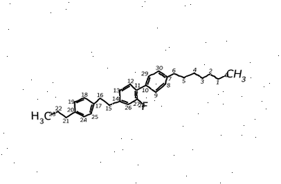 CCCCCCCc1ccc(-c2ccc(CCc3ccc(CCC)cc3)cc2F)cc1